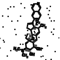 CC1C=C2C=C3[C@@H](O)[C@H](O)[C@@H](N(C)C)C[C@]34CC[C@]2(O4)C2CC=C(c3ccc4cnccc4c3)[C@@]12C